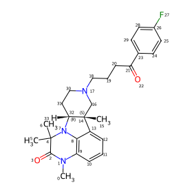 CN1C(=O)C(C)(C)N2c3c1cccc3[C@@]1(C)CN(CCCC(=O)c3ccc(F)cc3)CC[C@@H]21